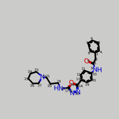 O=C(Cc1ccccc1)Nc1ccc(-c2nnc(NCCCN3CCCCC3)o2)cc1